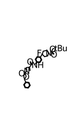 CC(C)(C)OC(=O)N1CCC(F)(c2ccc(NC(=O)C3CN(C(=O)OCc4ccccc4)C3)cc2)CC1